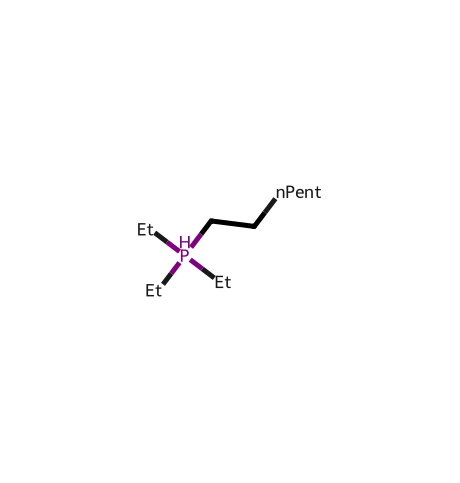 CCCCCCC[PH](CC)(CC)CC